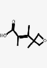 C/C(C(=O)O)=C(/C)C1(C)COC1